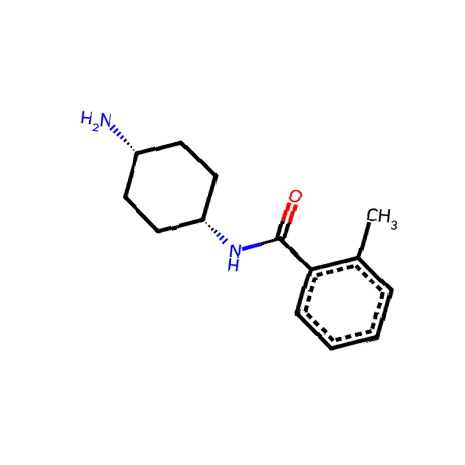 Cc1ccccc1C(=O)N[C@H]1CC[C@@H](N)CC1